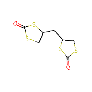 O=C1SCC(CC2CSC(=O)S2)S1